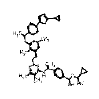 Cc1cc(CCc2nc(C)c(C)c(NC(C)c3ccc(C(=N)OC(=N)C4CC4)cc3)n2)c(C)c(CC(C)c2ccc(C3=CC=C(C4CC4)C3)cc2)c1